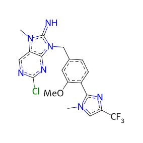 COc1cc(Cn2c(=N)n(C)c3cnc(Cl)nc32)ccc1-c1nc(C(F)(F)F)cn1C